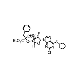 CCOC(=O)C(Cc1ccccc1)(OC1[C@H]2O[C@@H](n3cnc4c(SC5CCCC5)nc(Cl)nc43)[C@@H](F)[C@@]12O)C(=O)OCC